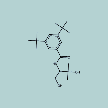 CC(C)(C)c1cc(C(=O)NC(CO)C(C)(C)O)cc(C(C)(C)C)c1